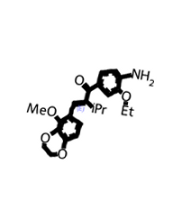 CCOc1cc(C(=O)/C(=C/c2ccc3c(c2OC)OCCO3)C(C)C)ccc1N